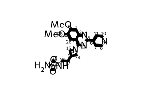 COc1cc2nc(-c3ccncc3)nc(N3CC(CCNS(N)(=O)=O)C3)c2cc1OC